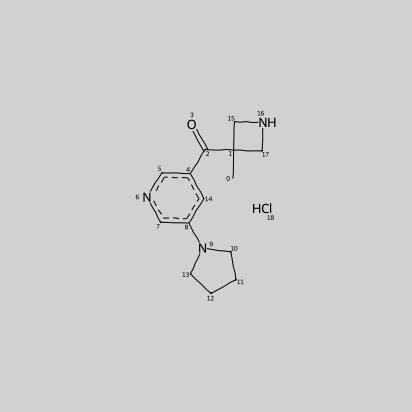 CC1(C(=O)c2cncc(N3CCCC3)c2)CNC1.Cl